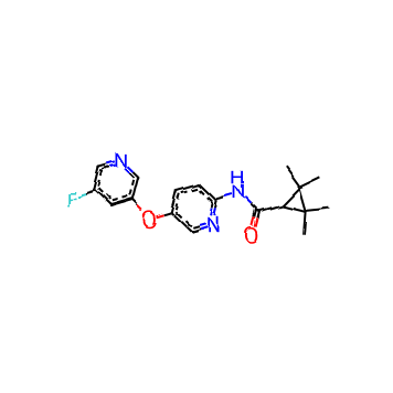 CC1(C)C(C(=O)Nc2ccc(Oc3cncc(F)c3)cn2)C1(C)C